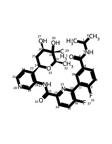 CC(C)NC(=O)c1ccc(F)c(-c2nc(C(=O)Nc3cnccc3[C@H]3C[C@@H](O)[C@](C)(O)[C@@H](C)O3)ccc2F)c1